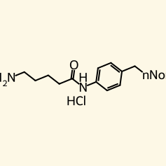 CCCCCCCCCCc1ccc(NC(=O)CCCCN)cc1.Cl